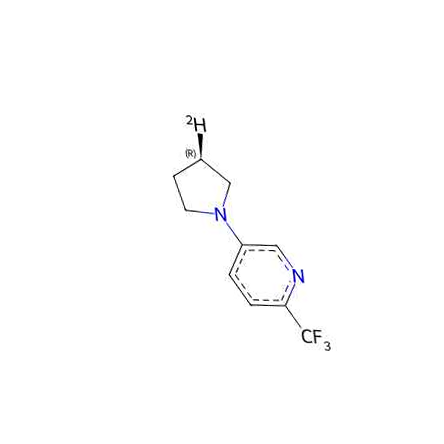 [2H][C@@H]1CCN(c2ccc(C(F)(F)F)nc2)C1